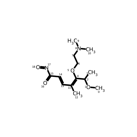 COC(C)/C(OCCN(C)C)=C(C)/C=C/C(=O)N=O